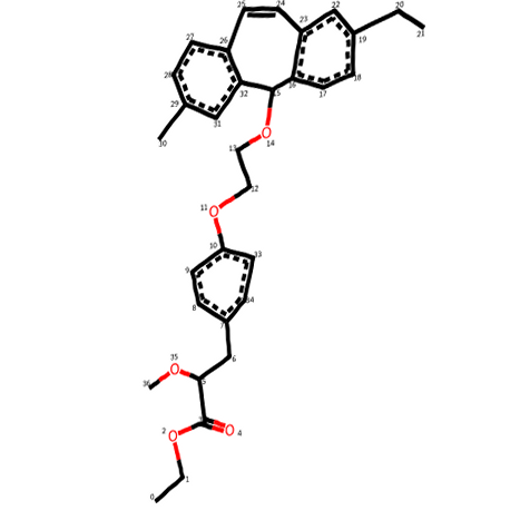 CCOC(=O)C(Cc1ccc(OCCOC2c3ccc(CC)cc3C=Cc3ccc(C)cc32)cc1)OC